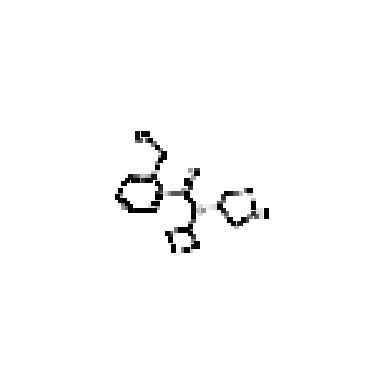 CCSc1ccccc1C(=O)N(C1CCC1)[C@H]1CCNC1